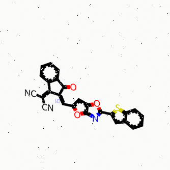 N#CC(C#N)=C1/C(=C/c2cc3oc(-c4cc5ccccc5s4)nc3o2)C(=O)c2ccccc21